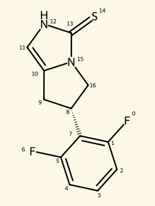 Fc1cccc(F)c1[C@@H]1Cc2c[nH]c(=S)n2C1